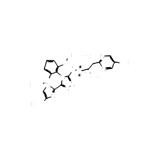 COc1cccc(OC)c1-n1c(NS(=O)(=O)[C@H](C)[C@H](O)c2ncc(C)cn2)nnc1-c1nc(C)cs1